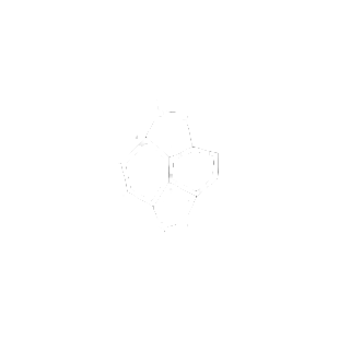 c1cc2c3c(ccc4c3c1SS4)SS2